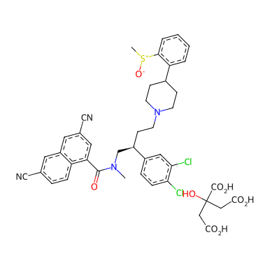 CN(C[C@@H](CCN1CCC(c2ccccc2[S+](C)[O-])CC1)c1ccc(Cl)c(Cl)c1)C(=O)c1cc(C#N)cc2cc(C#N)ccc12.O=C(O)CC(O)(CC(=O)O)C(=O)O